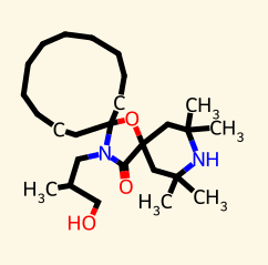 CC(CO)CN1C(=O)C2(CC(C)(C)NC(C)(C)C2)OC12CCCCCCCCCCC2